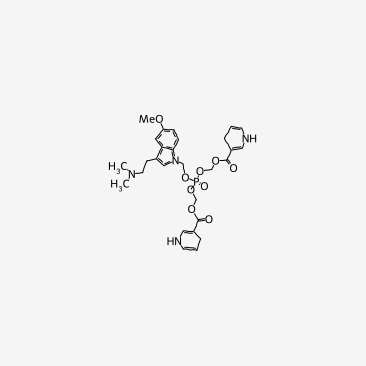 COc1ccc2c(c1)c(CCN(C)C)cn2COP(=O)(OCOC(=O)C1=CNC=CC1)OCOC(=O)C1=CNC=CC1